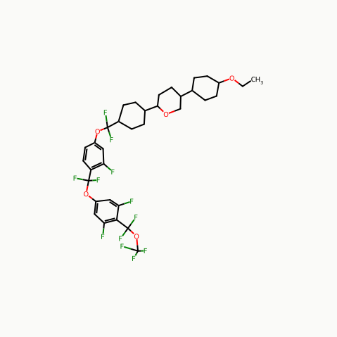 CCOC1CCC(C2CCC(C3CCC(C(F)(F)Oc4ccc(C(F)(F)Oc5cc(F)c(C(F)(F)OC(F)(F)F)c(F)c5)c(F)c4)CC3)OC2)CC1